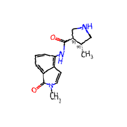 C[C@H]1CNC[C@@H]1C(=O)Nc1cccc2c(=O)n(C)ccc12